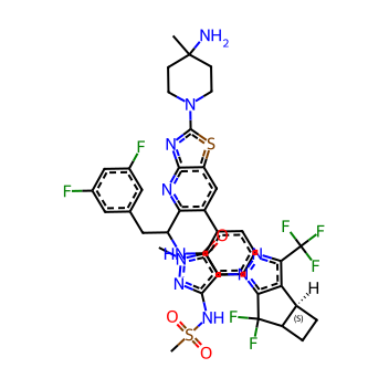 Cn1nc(NS(C)(=O)=O)c2cccc(-c3cc4sc(N5CCC(C)(N)CC5)nc4nc3C(Cc3cc(F)cc(F)c3)NC(=O)Cn3nc(C(F)(F)F)c4c3C(F)(F)C3CC[C@H]43)c21